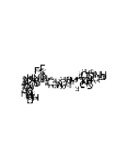 Cn1c(=O)n(C2CCC(=O)NC2=O)c2cccc(C#CCOC3CCN(C[C@H]4CC[C@H](n5cc(NC(=O)c6cnn7ccc(N8C[C@H]9C[C@@H]8CO9)nc67)c(C(F)F)n5)CC4)CC3)c21